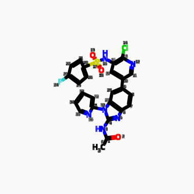 CC(=O)Nc1nc2ccc(-c3cnc(Cl)c(NS(=O)(=O)c4ccc(F)cc4)c3)cc2n1-c1ccccn1